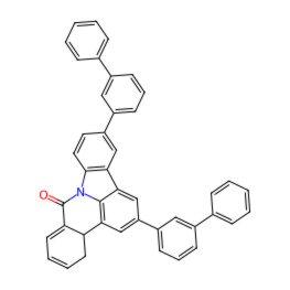 O=C1C2=CC=CCC2c2cc(-c3cccc(-c4ccccc4)c3)cc3c4cc(-c5cccc(-c6ccccc6)c5)ccc4n1c23